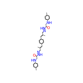 CC(/C=N/NC(=O)CNc1ccc(C)cc1)=C\c1ccc(/C=C(C)/C=N/NC(=O)CNc2ccc(C)cc2)cc1